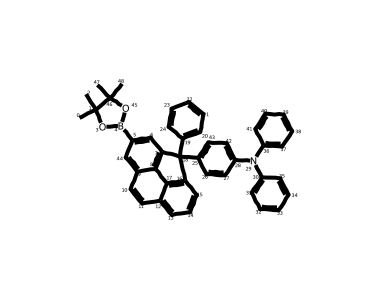 CC1(C)OB(c2cc3c4c(ccc5cccc(c54)C3(c3ccccc3)c3ccc(N(c4ccccc4)c4ccccc4)cc3)c2)OC1(C)C